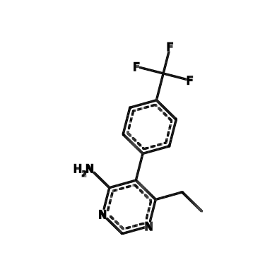 CCc1ncnc(N)c1-c1ccc(C(F)(F)F)cc1